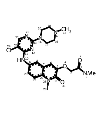 CNC(=O)COc1cc2cc(Nc3nc(N4CCN(C)CC4)ncc3Cl)ccc2n(I)c1=O